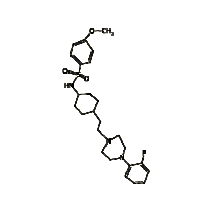 COc1ccc(S(=O)(=O)NC2CCC(CCN3CCN(c4ccccc4F)CC3)CC2)cc1